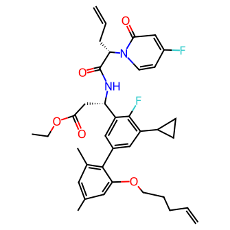 C=CCCCOc1cc(C)cc(C)c1-c1cc(C2CC2)c(F)c([C@H](CC(=O)OCC)NC(=O)[C@H](CC=C)n2ccc(F)cc2=O)c1